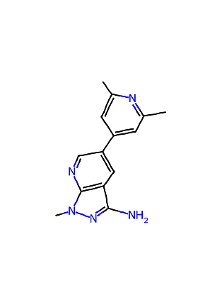 Cc1cc(-c2cnc3c(c2)c(N)nn3C)cc(C)n1